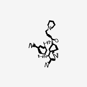 N#Cc1cccc(Nc2c(C#N)cnc3ccc(NC(=O)C#CCN4CCCCC4)cc23)c1